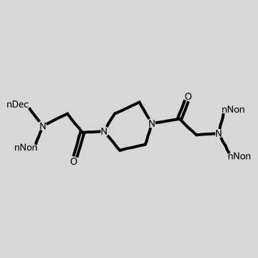 CCCCCCCCCCN(CCCCCCCCC)CC(=O)N1CCN(C(=O)CN(CCCCCCCCC)CCCCCCCCC)CC1